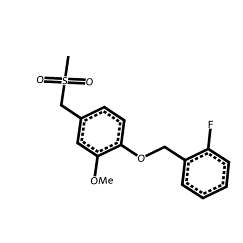 COc1cc(CS(C)(=O)=O)ccc1OCc1ccccc1F